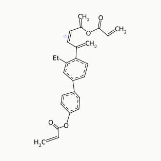 C=CC(=O)OC(=C)/C=C\C(=C)c1ccc(-c2ccc(OC(=O)C=C)cc2)cc1CC